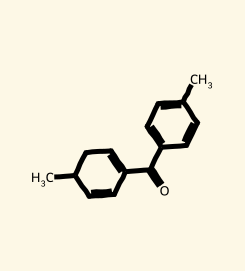 Cc1ccc(C(=O)C2=CCC(C)C=C2)cc1